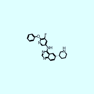 Fc1cc(Nc2ncnc3ccc([C@H]4CCCNC4)cc23)cnc1Oc1ccccc1